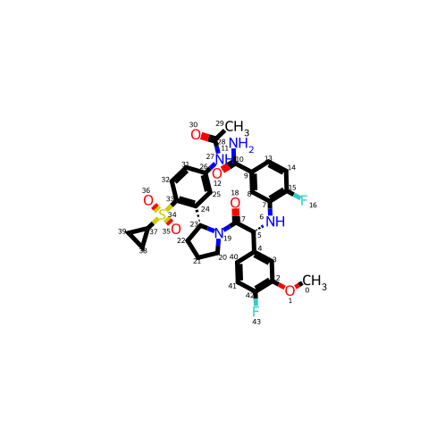 COc1cc([C@@H](Nc2cc(C(N)=O)ccc2F)C(=O)N2CCC[C@@H]2c2cc(NC(C)=O)ccc2S(=O)(=O)C2CC2)ccc1F